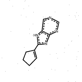 C1=C(c2nc3ncncc3[nH]2)CCC1